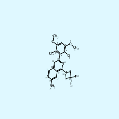 COc1cc(OC)c(Cl)c(-c2cc3cnc(N)cc3c(N3CC(F)(F)C3)n2)c1Cl